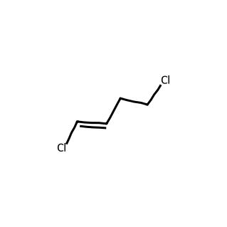 Cl/C=C/CCCl